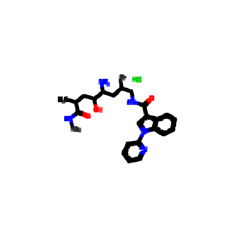 CCCCNC(=O)C(C)CC(O)C(N)CC(CNC(=O)c1cn(-c2ccccn2)c2ccccc12)C(C)C.Cl